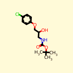 CC(C)(C)OC(=O)NCC(O)COc1ccc(Cl)cc1